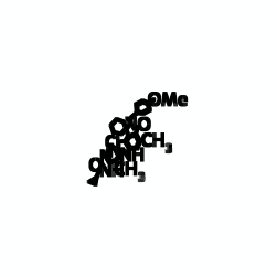 COc1ccc(CN2C(=O)c3c(C)cc(Nc4ncnc(NC(=O)C5CC5)c4C)c(Cl)c3C23CCCCC3)cc1